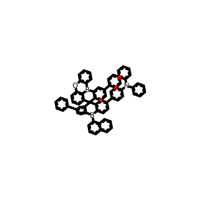 c1ccc(-c2ccc3c(c2)B2c4ccccc4Oc4cccc(c42)C32c3cc(-c4ccccc4)ccc3B(c3cccc4ccccc34)c3ccc(-c4ccc(N(c5ccccc5)c5ccccc5)cc4)cc32)cc1